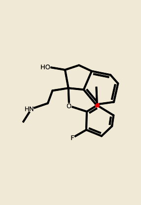 CNCCC1(Oc2c(C)cccc2F)c2ccccc2CC1O